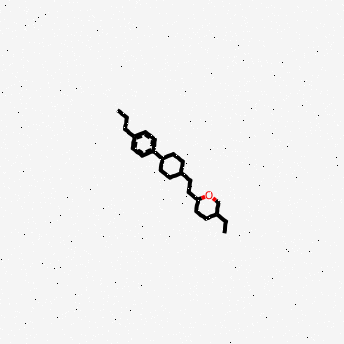 CCCc1ccc(C2CCC(CCC3CCC(CC)CO3)CC2)cc1